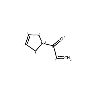 C=CC(=O)N1CC=CC1